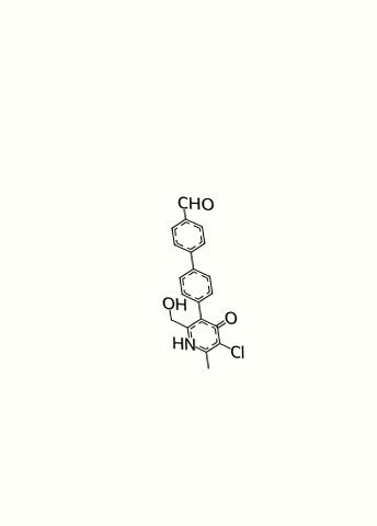 Cc1[nH]c(CO)c(-c2ccc(-c3ccc(C=O)cc3)cc2)c(=O)c1Cl